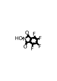 O=C1c2c(F)c(F)c(F)c(F)c2C(=O)N1O